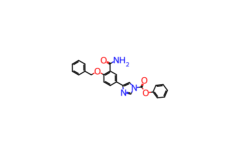 NC(=O)c1cc(-c2cn(C(=O)Oc3ccccc3)cn2)ccc1OCc1ccccc1